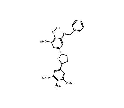 CCCOc1c(NCc2ccccc2)cc([C@@H]2CC[C@@H](c3cc(OC)c(OC)c(OC)c3)S2)cc1OC